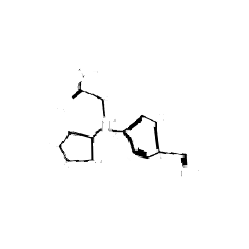 NC(=O)CN(c1ccc(C=O)cc1)C1CCCC1